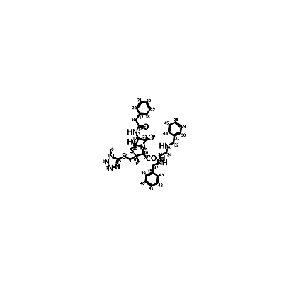 Cn1nnnc1SCC1(C)S[C@H]2C(NC(=O)Cc3ccccc3)C(=O)N2C1C(=O)O.c1ccc(CNCCNCc2ccccc2)cc1